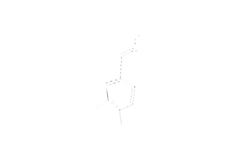 O/N=C/c1ccc(Cl)c(F)c1